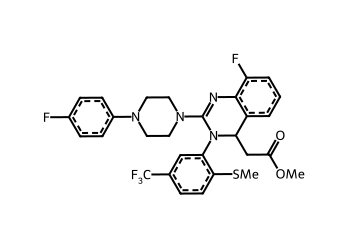 COC(=O)CC1c2cccc(F)c2N=C(N2CCN(c3ccc(F)cc3)CC2)N1c1cc(C(F)(F)F)ccc1SC